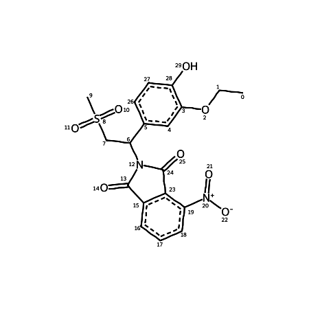 CCOc1cc(C(CS(C)(=O)=O)N2C(=O)c3cccc([N+](=O)[O-])c3C2=O)ccc1O